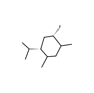 CC(C)[C@@H]1C[C@H](F)C(C)CC1C